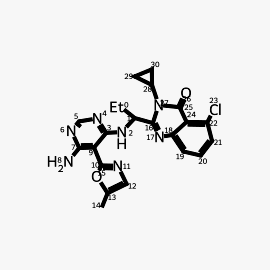 CCC(Nc1ncnc(N)c1-c1ncc(C)o1)c1nc2cccc(Cl)c2c(=O)n1C1CC1